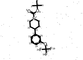 CC(C)(C)OC(=O)N1CCC(c2cccc(OC(F)(F)F)c2)CC1